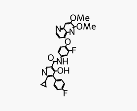 COc1cc2nccc(Oc3ccc(NC(=O)c4cnc(C5CC5)c(-c5ccc(F)cc5)c4O)cc3F)c2nc1OC